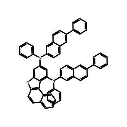 c1ccc(-c2ccc3cc(N(c4ccccc4)c4cc(N(c5ccccc5)c5ccc6cc(-c7ccccc7)ccc6c5)c5c(c4)oc4ccc6ccccc6c45)ccc3c2)cc1